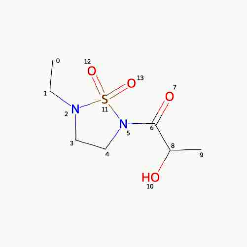 CCN1CCN(C(=O)C(C)O)S1(=O)=O